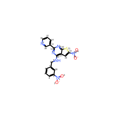 O=[N+]([O-])c1cccc(CNc2nc(-c3cccnc3)nc3sc([N+](=O)[O-])cc23)c1